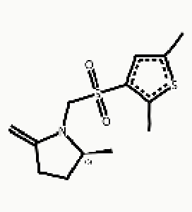 C=C1CC[C@H](C)N1CS(=O)(=O)c1cc(C)sc1C